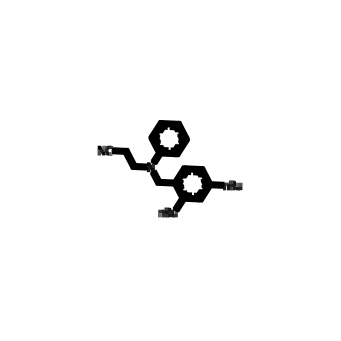 CCCCc1ccc(CN(CCC#N)c2ccccc2)c(CCCC)c1